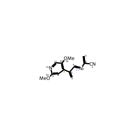 C=C(C#N)/N=C/C(=C)c1cc(OC)ncc1OC